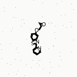 c1ccc(-c2nc3cc(OCC4CO4)ccc3s2)nc1